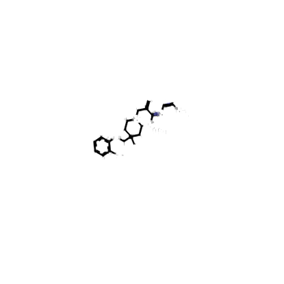 C=C(CN1CCC(C)(COc2ccccc2F)CC1)/C(=N\C=C/N)OC(C)(C)C